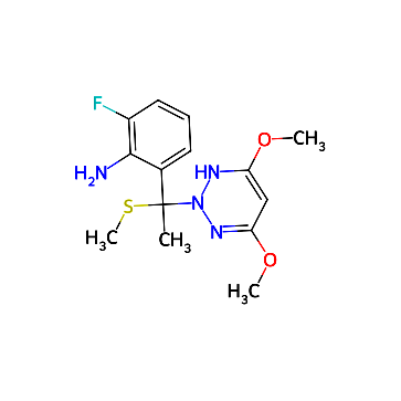 COC1=CC(OC)=NN(C(C)(SC)c2cccc(F)c2N)N1